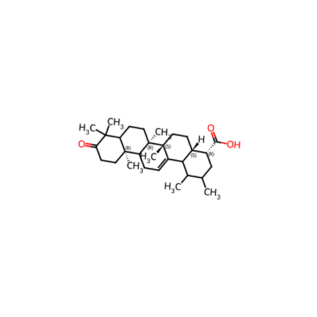 CC1C[C@@H](C(=O)O)[C@H]2CC[C@]3(C)C(=CCC4[C@@]5(C)CCC(=O)C(C)(C)C5CC[C@]43C)C2C1C